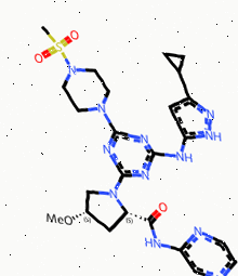 CO[C@H]1C[C@@H](C(=O)Nc2cnccn2)N(c2nc(Nc3cc(C4CC4)n[nH]3)nc(N3CCN(S(C)(=O)=O)CC3)n2)C1